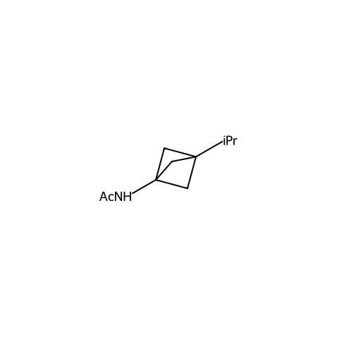 CC(=O)NC12CC(C(C)C)(C1)C2